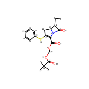 CCC1C(=O)N2C(C(=O)OCOC(=O)C(C)(C)C)=C(Sc3ccccc3)CC12